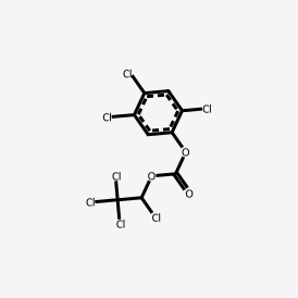 O=C(Oc1cc(Cl)c(Cl)cc1Cl)OC(Cl)C(Cl)(Cl)Cl